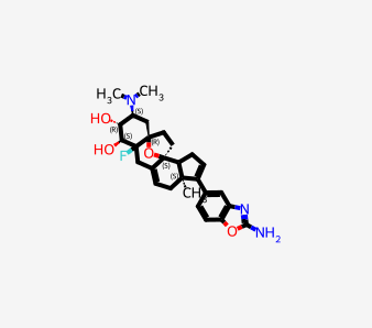 CN(C)[C@H]1C[C@@]23CC[C@@]4(O2)C(=CC[C@]2(C)C(c5ccc6oc(N)nc6c5)=CCC24)CC3(F)[C@@H](O)[C@@H]1O